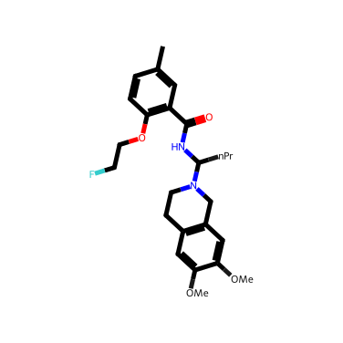 CCCC(NC(=O)c1cc(C)ccc1OCCF)N1CCc2cc(OC)c(OC)cc2C1